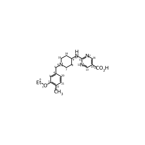 CCOc1cc(CN2CCC(Nc3ncc(C(=O)O)cn3)CC2)ccc1C